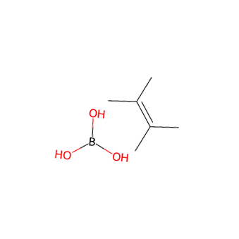 CC(C)=C(C)C.OB(O)O